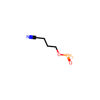 N#CCCCO[PH2]=O